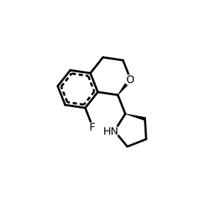 Fc1cccc2c1[C@H]([C@H]1CCCN1)OCC2